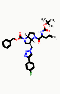 C=CCC(NC(=O)OC(C)(C)C)C(=O)N1CC[C@@H]2[C@H]1[C@@H](Cn1cc(-c3ccc(F)cc3)nn1)CN2C(=O)OCc1ccccc1